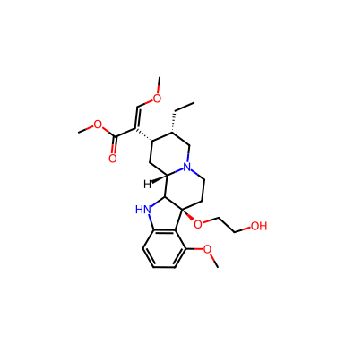 CC[C@@H]1CN2CC[C@]3(OCCO)c4c(cccc4OC)NC3[C@@H]2C[C@@H]1/C(=C\OC)C(=O)OC